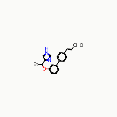 CCC(Oc1cccc(-c2ccc(C=CC=O)cc2)c1)c1c[nH]cn1